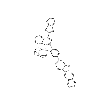 c1ccc2cc3c(cc2c1)oc1cc(-c2ccc4c(c2)C2(c5c-4cc(-c4nc6ccccc6s4)c4ccccc54)C4CC5CC(C4)CC2C5)ccc13